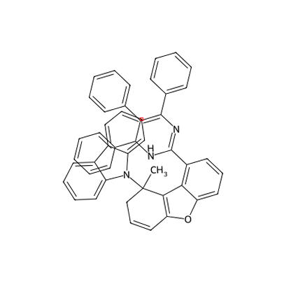 CC1(n2c3ccccc3c3ccccc32)CC=Cc2oc3cccc(C4=NC(c5ccccc5)=C(c5ccccc5)C(c5ccccc5)N4)c3c21